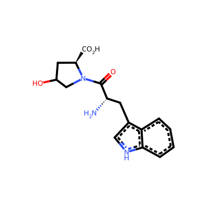 N[C@@H](Cc1c[nH]c2ccccc12)C(=O)N1CC(O)C[C@H]1C(=O)O